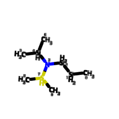 C[SiH2][SiH2]N([SiH](C)C)[SH](C)C